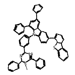 IN1C(c2ccccc2)=NC(c2cccc(-n3c4ccc(C5=CC=CC6c7ccccc7SC56)cc4c4cc(-c5ccccc5)cc(-c5ccccc5)c43)c2)=NC1c1ccccc1